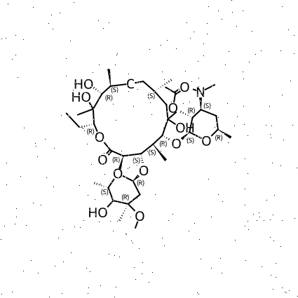 CC[C@H]1OC(=O)[C@H](C)[C@@H](O[C@H]2C[C@@](C)(OC)C(O)[C@H](C)O2)[C@H](C)[C@@H](O[C@@H]2O[C@H](C)C[C@H](N(C)C)[C@H]2OC(C)=O)C(C)(O)C[C@@H](C)CC[C@H](C)[C@@H](O)C1(C)O